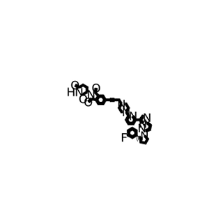 O=C1CCC(N2C(=O)c3ccc(C#CCN4CCN(c5cccc(-c6cnc7ccc(N8CCC[C@@H]8c8cccc(F)c8)nn67)n5)CC4)cc3C2=O)C(=O)N1